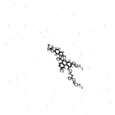 CCOC(=O)CCOCc1cc(NC(C(=O)N2CCc3ccc(OC(F)(F)F)cc32)c2ccc(Cl)cc2)cc(OC)c1